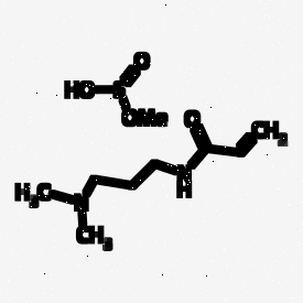 C=CC(=O)NCCCN(C)C.COS(=O)O